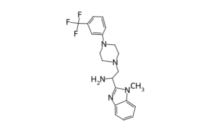 Cn1c(C(N)CN2CCN(c3cccc(C(F)(F)F)c3)CC2)nc2ccccc21